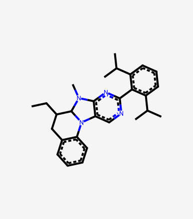 CCC1Cc2ccccc2N2c3cnc(-c4c(C(C)C)cccc4C(C)C)nc3N(C)C12